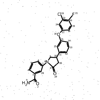 NC(=O)c1cccc(N2CC(c3cccc(Oc4ccc(F)c(Cl)c4)c3)CC2=O)c1